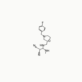 CNC(NCC1CN(Cc2ccc(F)cc2)CCO1)C(C#N)C#N